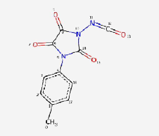 Cc1ccc(N2C(=O)C(=O)N(N=C=O)C2=O)cc1